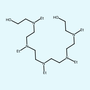 CCN(CCO)CCN(CC)CCN(CC)CCN(CC)CCN(CC)CCO